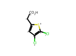 O=C(O)Cc1cc(Cl)c(Cl)s1